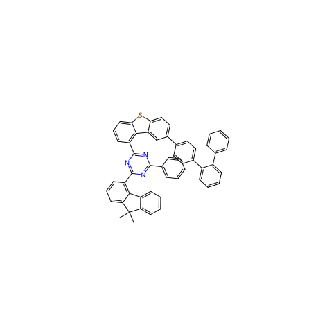 CC1(C)c2ccccc2-c2c(-c3nc(-c4ccccc4)nc(-c4cccc5sc6ccc(-c7ccc(-c8ccccc8-c8ccccc8)cc7)cc6c45)n3)cccc21